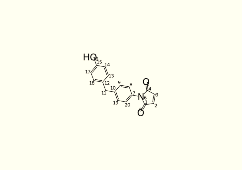 O=C1C=CC(=O)N1c1ccc(Cc2ccc(O)cc2)cc1